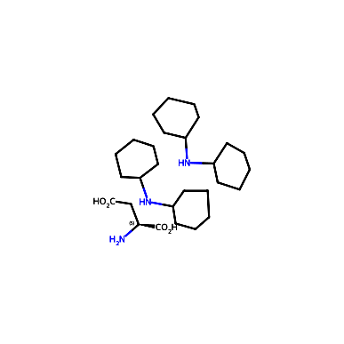 C1CCC(NC2CCCCC2)CC1.C1CCC(NC2CCCCC2)CC1.N[C@@H](CC(=O)O)C(=O)O